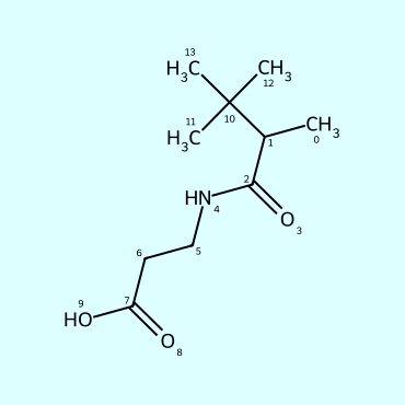 CC(C(=O)NCCC(=O)O)C(C)(C)C